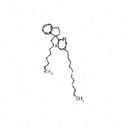 CCCCCCCCCCCc1cnc(C2(CCCCCCCC)CCc3ccccc32)nc1